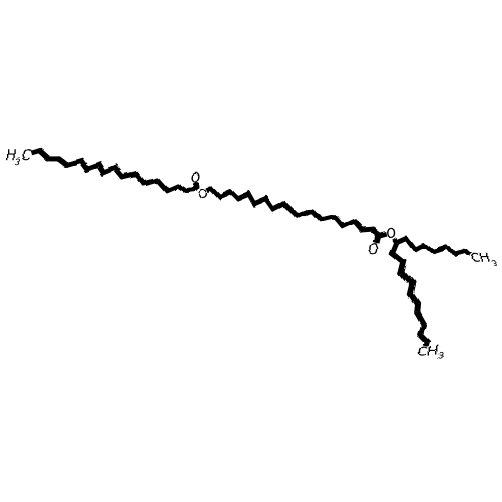 CCCCCCCCCCCCCCCCCC(=O)OCCCCCCCCCCCCCCCCCC(=O)OC(CCCCCCCC)CCCCCCCCCCC